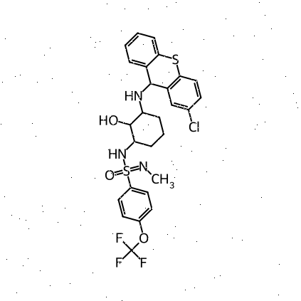 CN=S(=O)(NC1CCCC(NC2c3ccccc3Sc3ccc(Cl)cc32)C1O)c1ccc(OC(F)(F)F)cc1